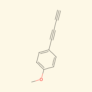 C#CC#Cc1ccc(OC)cc1